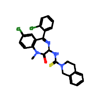 CN1C(=O)C(NC(=S)N2CCc3ccccc3C2)N=C(c2ccccc2Cl)c2cc(Cl)ccc21